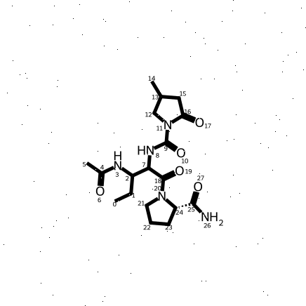 CCC(NC(C)=O)C(NC(=O)N1CC(C)CC1=O)C(=O)N1CCC[C@H]1C(N)=O